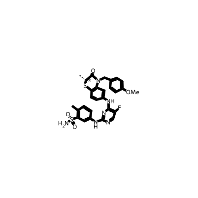 COc1ccc(CN2C(=O)[C@@H](C)Sc3ccc(Nc4nc(Nc5ccc(C)c(S(N)(=O)=O)c5)ncc4F)cc32)cc1